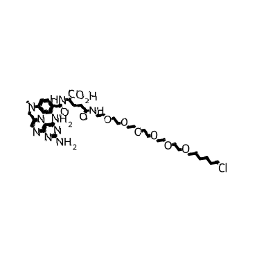 CN(Cc1cnc2nc(N)nc(N)c2n1)c1ccc(C(=O)NC(CCC(=O)NCCOCCOCCOCCOCCOCCOCCCCCCCl)C(=O)O)cc1